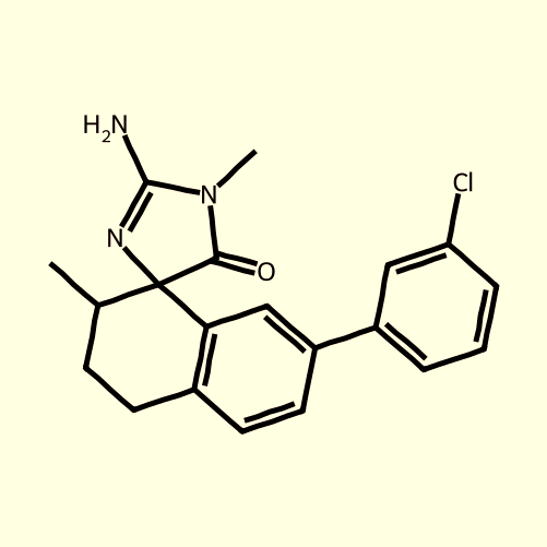 CC1CCc2ccc(-c3cccc(Cl)c3)cc2C12N=C(N)N(C)C2=O